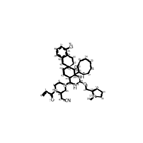 C=CC(=O)N1CCN(C2NC(OCC3CCCN3C)NC3(C4CCCCCCC4)C(=O)[C@]4(CCc5c(Cl)cccc5C4)CCC23)CC1CC#N